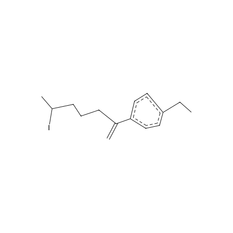 C=C(CCCC(C)I)c1ccc(CC)cc1